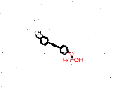 CCc1ccc(C#Cc2ccc(OB(O)O)cc2)cc1